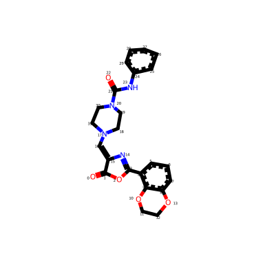 O=C1OC(c2cccc3c2OCCO3)=NC1=CN1CCN(C(=O)Nc2ccccc2)CC1